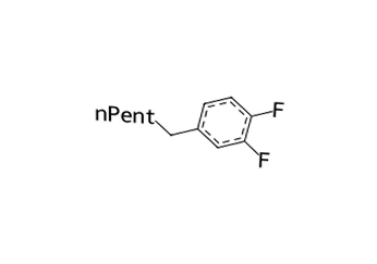 CCCCCCc1ccc(F)c(F)c1